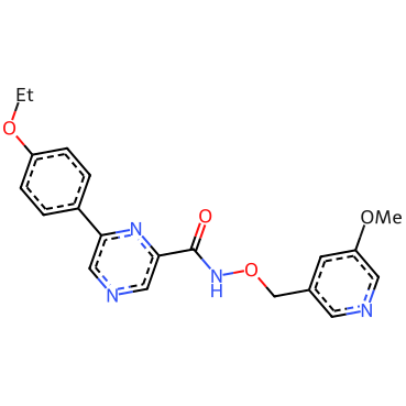 CCOc1ccc(-c2cncc(C(=O)NOCc3cncc(OC)c3)n2)cc1